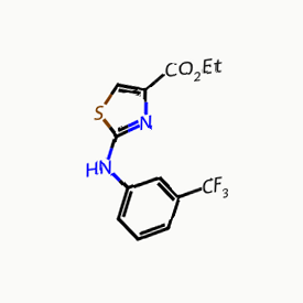 CCOC(=O)c1csc(Nc2cccc(C(F)(F)F)c2)n1